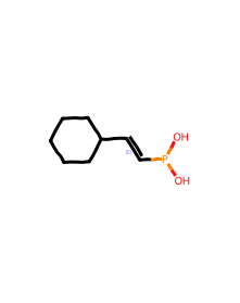 OP(O)/C=C/C1CCCCC1